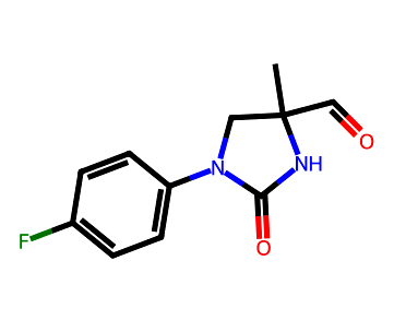 CC1(C=O)CN(c2ccc(F)cc2)C(=O)N1